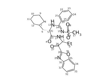 CCC(NC(=O)[C@H](CC1CCCCC1)NC(=NS(C)(=O)=O)c1ccccc1)C(=O)c1nc2ccccc2o1